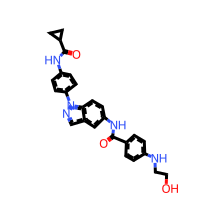 O=C(Nc1ccc2c(cnn2-c2ccc(NC(=O)C3CC3)cc2)c1)c1ccc(NCCO)cc1